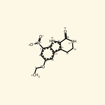 CCOc1cc([N+](=O)[O-])c2[nH]c3c(c2c1)CCNC3=O